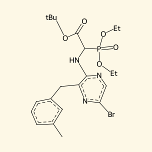 CCOP(=O)(OCC)C(Nc1ncc(Br)nc1Cc1cccc(C)c1)C(=O)OC(C)(C)C